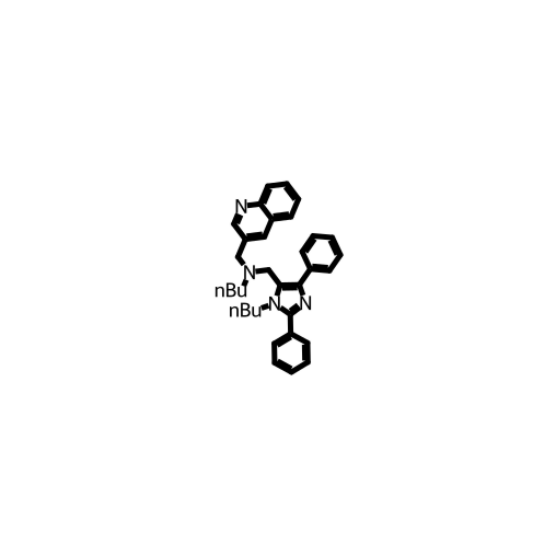 CCCCN(Cc1cnc2ccccc2c1)Cc1c(-c2ccccc2)nc(-c2ccccc2)n1CCCC